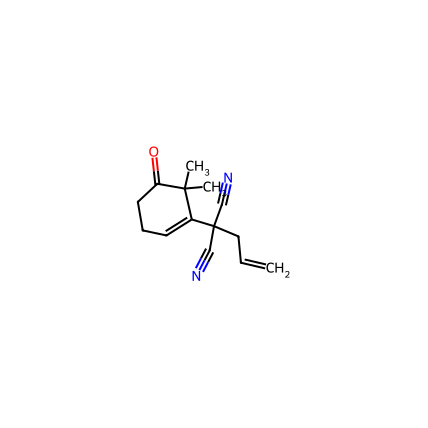 C=CCC(C#N)(C#N)C1=CCCC(=O)C1(C)C